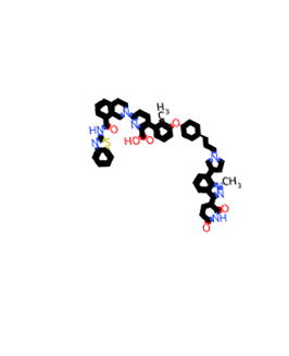 Cc1c(O[C@H]2CC[C@H](CCCN3CCC(c4cccc5c(C6CCC(=O)NC6=O)nn(C)c45)C3)CC2)cccc1-c1ccc(N2CCc3cccc(C(=O)Nc4nc5ccccc5s4)c3C2)nc1C(=O)O